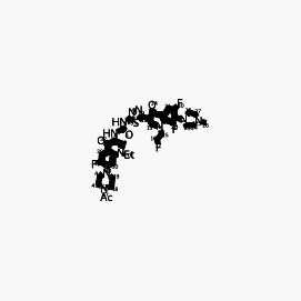 CCn1cc(NC(=O)Nc2nnc(-c3cn(CCF)c4c(F)c(N5CCN(C)CC5)c(F)cc4c3=O)s2)c(=O)c2cc(F)c(N3CCN(C(C)=O)CC3)cc21